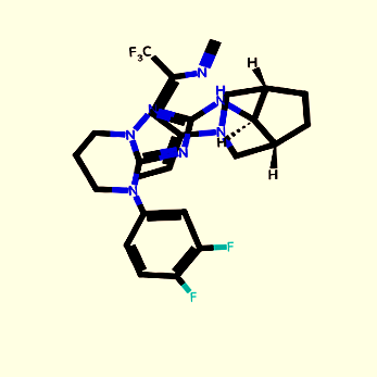 C=N/C(=C\C(=C/C)N1C[C@H]2CC[C@@H](C1)[C@@H]2Nc1nc2n(n1)CCCN2c1ccc(F)c(F)c1)C(F)(F)F